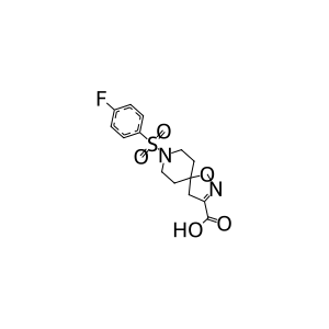 O=C(O)C1=NOC2(CCN(S(=O)(=O)c3ccc(F)cc3)CC2)C1